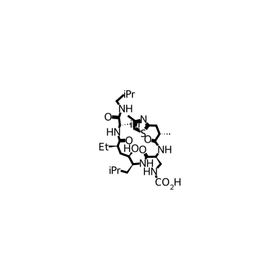 CC[C@H](C[C@@H](O)[C@H](CC(C)C)NC(=O)[C@H](CNC(=O)O)NC(=O)[C@@H](C)Cc1nc(C)cs1)C(=O)N[C@H](C(=O)NCC(C)C)C(C)C